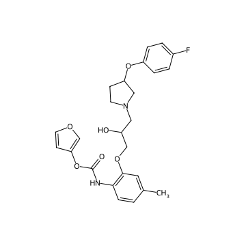 Cc1ccc(NC(=O)Oc2ccoc2)c(OCC(O)CN2CCC(Oc3ccc(F)cc3)C2)c1